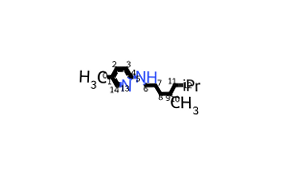 Cc1ccc(NCCC[C@H](C)CC(C)C)nc1